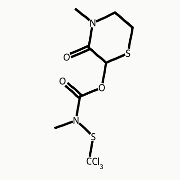 CN1CCSC(OC(=O)N(C)SC(Cl)(Cl)Cl)C1=O